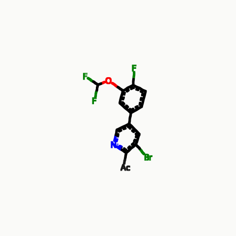 CC(=O)c1ncc(-c2ccc(F)c(OC(F)F)c2)cc1Br